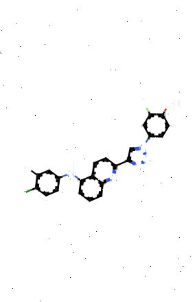 Cc1cc(Nc2cccc3nc(-c4cn(-c5ccc(O)c(F)c5)nn4)ccc23)ccc1Cl